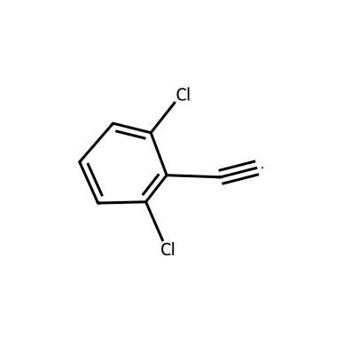 [C]#Cc1c(Cl)cccc1Cl